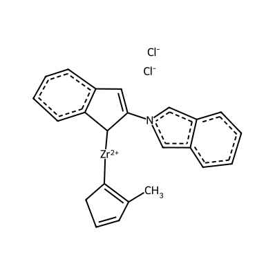 CC1=[C]([Zr+2][CH]2C(n3cc4ccccc4c3)=Cc3ccccc32)CC=C1.[Cl-].[Cl-]